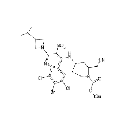 CN(C)C1CN(c2nc3c(Cl)c(Br)c(Cl)cc3c(N[C@H]3CCN(C(=O)OC(C)(C)C)[C@H](CC#N)C3)c2[N+](=O)[O-])C1